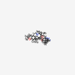 [2H]c1c2c(c([2H])c(OC)c1OC([2H])([2H])[2H])C1N(CC2)C([2H])([2H])C([2H])(CC(C)C)C([2H])(OC(=O)[C@@]([2H])(N)C([2H])(C([2H])([2H])[2H])C([2H])([2H])[2H])C1([2H])[2H]